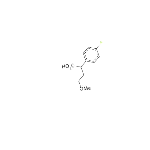 COCCC(C(=O)O)c1ccc(F)cc1